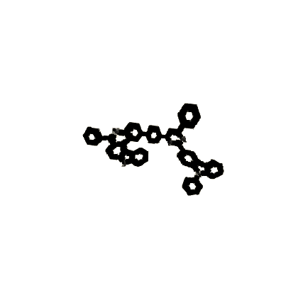 c1ccc(-c2cc(-c3ccc(-c4ccc5nc(-c6ccccc6)c6ccc7sc8ccccc8c7c6c5c4)cc3)nc(-c3ccc4c(c3)c3ccccc3n4-c3ccccc3)n2)cc1